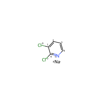 Clc1cccnc1Cl.[Na]